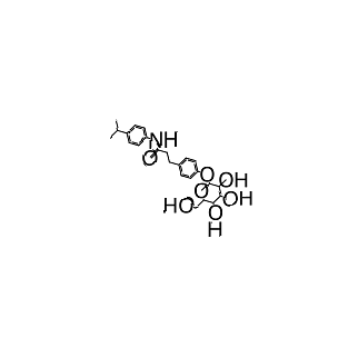 CC(C)c1ccc(NC(=O)CCc2ccc(OC3OC(CO)C(O)C(O)C3O)cc2)cc1